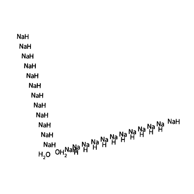 O.O.[NaH].[NaH].[NaH].[NaH].[NaH].[NaH].[NaH].[NaH].[NaH].[NaH].[NaH].[NaH].[NaH].[NaH].[NaH].[NaH].[NaH].[NaH].[NaH].[NaH].[NaH].[NaH].[NaH].[NaH]